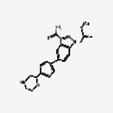 CC(C)(C)OC(=O)Cn1nc(C(N)=O)c2cc(-c3ccc(C4CNCCO4)cc3)ccc21